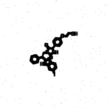 O=C1N[C@H](c2ccc(OCCO)cc2)C(=O)N1C[C@@H](c1ccccc1)c1nc2ccc(I)cc2[nH]1